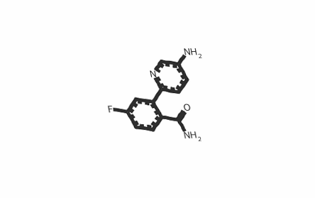 NC(=O)c1ccc(F)cc1-c1ccc(N)cn1